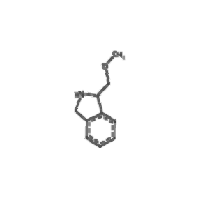 COCC1NCc2ccccc21